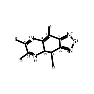 CC1=NC2=C(C)c3nsnc3C(C)C2N=C1C